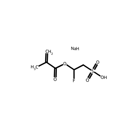 C=C(C)C(=O)OC(F)CS(=O)(=O)O.[NaH]